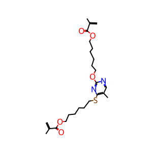 C=C(C)C(=O)OCCCCCCOc1ncc(C)c(SCCCCCCOC(=O)C(=C)C)n1